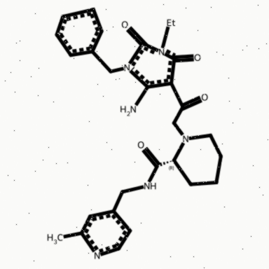 CCn1c(=O)c(C(=O)CN2CCCC[C@@H]2C(=O)NCc2ccnc(C)c2)c(N)n(Cc2ccccc2)c1=O